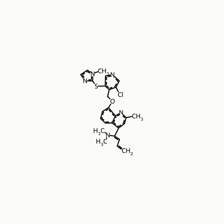 C=C/C=C(/c1cc(C)nc2c(OCc3c(Cl)cncc3Sc3nccn3C)cccc12)N(C)C